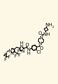 NC1CC(NC(=O)N2CCN(C(=O)c3ccc(NC(=O)c4ncc(Cc5cn(C[C@@H]6CC6(F)F)nc5C(F)(F)F)[nH]4)cc3Cl)CC2)C1